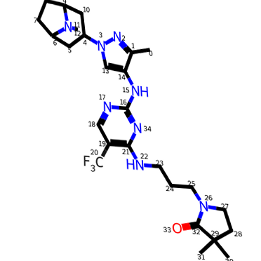 Cc1nn(C2CC3CCC(C2)N3C)cc1Nc1ncc(C(F)(F)F)c(NCCCN2CCC(C)(C)C2=O)n1